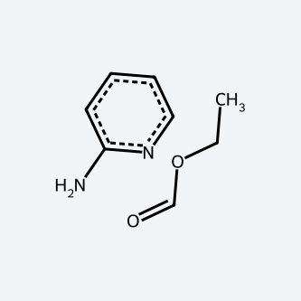 CCOC=O.Nc1ccccn1